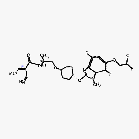 CN/C=C(\C=N)C(=O)N[C@@H](C)CO[C@H]1CC[C@H](OC2=NC3=C(F)C=C(OCC(F)F)C(F)C3N2C)CC1